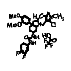 COc1ccc(C23CCC(NC(=O)Nc4ccc(F)c(F)c4)CC2N(Cc2c(C)nn(C)c2Cl)CC3)cc1OC.O=C(O)C(F)(F)F